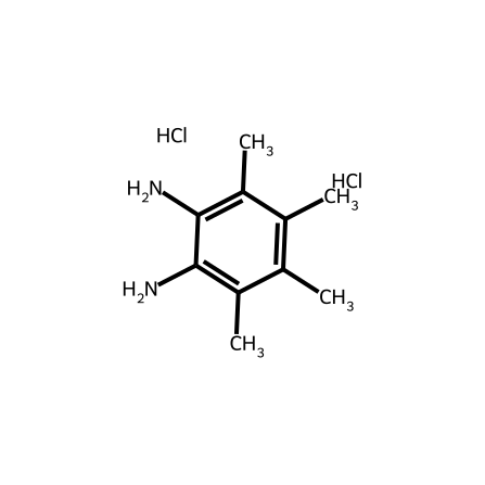 Cc1c(C)c(C)c(N)c(N)c1C.Cl.Cl